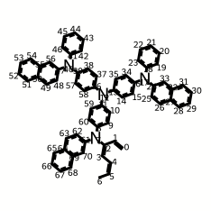 C=C/C(=C\C=C/C)N(c1ccc(N(c2ccc(N(c3ccccc3)c3ccc4ccccc4c3)cc2)c2ccc(N(c3ccccc3)c3ccc4ccccc4c3)cc2)cc1)c1ccc2ccccc2c1